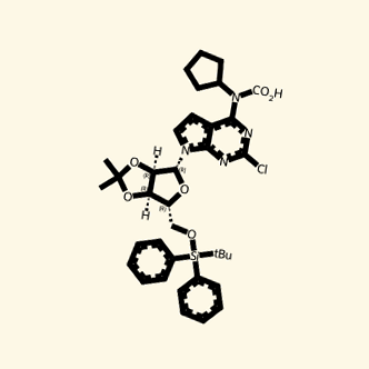 CC1(C)O[C@@H]2[C@H](O1)[C@@H](CO[Si](c1ccccc1)(c1ccccc1)C(C)(C)C)O[C@H]2n1ccc2c(N(C(=O)O)C3CCCC3)nc(Cl)nc21